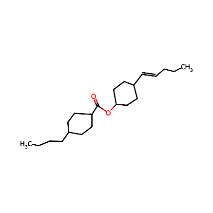 CCC/C=C/C1CCC(OC(=O)C2CCC(CCCC)CC2)CC1